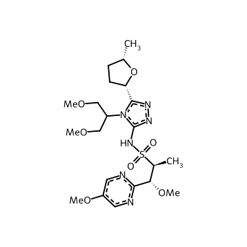 COCC(COC)n1c(NS(=O)(=O)[C@@H](C)[C@H](OC)c2ncc(OC)cn2)nnc1[C@@H]1CC[C@H](C)O1